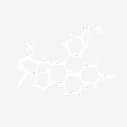 CNc1ccc(C2CC3(C)C(CCC3(OC(C)=O)C(C)=O)C3CCC4=CC(=O)CCC4=C23)cc1